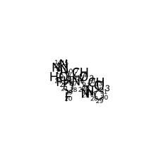 Cc1c(C(=O)N[C@H](C)[C@](O)(Cn2cncn2)c2ccc(F)cc2F)cnn1-c1ccccc1Cl